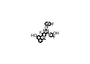 CCc1cccc2cc(O)cc(-c3ncc4c(N5CCC(F)C(O)C5)nc(OC[C@@]56CCCN5C[C@H](F)C6)nc4c3F)c12